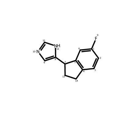 Fc1ccc2c(c1)C(c1cnc[nH]1)CC2